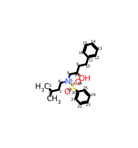 CC(C)CCN(C[C@H](O)[CH]Cc1ccccc1)S(=O)(=O)c1ccccc1